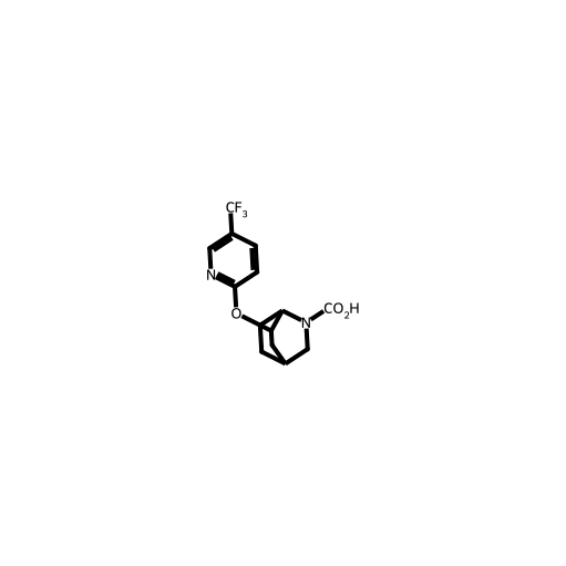 O=C(O)N1CC2CCC1C(Oc1ccc(C(F)(F)F)cn1)C2